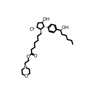 CCCCC[C@@H](O)c1ccc([C@@H]2[C@@H](CCCCCCC(=O)OCCN3CCOCC3)[C@H](Cl)C[C@H]2O)cc1